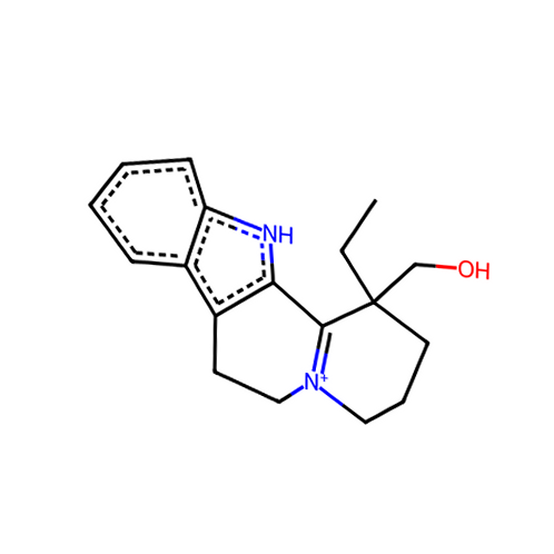 CCC1(CO)CCC[N+]2=C1c1[nH]c3ccccc3c1CC2